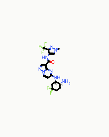 Cn1cc(NC(=O)c2cnn3ccc(N[C@H]4CC(F)(F)CC[C@H]4N)nc23)c(C(F)(F)F)n1